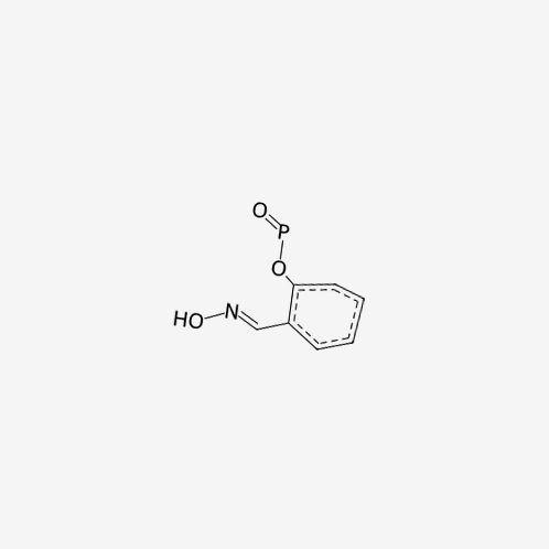 O=POc1ccccc1C=NO